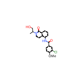 COc1ccc(C(=O)Nc2cccc3c(=O)n(C(C)CO)ccc23)cc1Cl